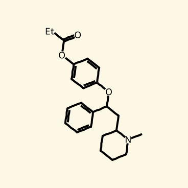 CCC(=O)Oc1ccc(OC(CC2CCCCN2C)c2ccccc2)cc1